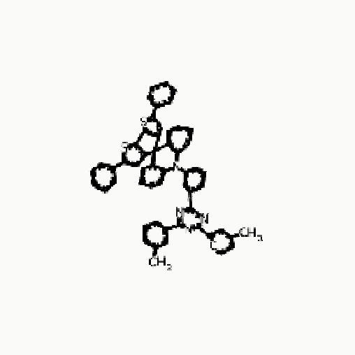 Cc1cccc(-c2nc(-c3cccc(C)c3)nc(-c3cccc(N4c5ccccc5C5(c6ccccc64)c4cc(-c6ccccc6)sc4-c4sc(-c6ccccc6)cc45)c3)n2)c1